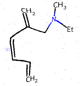 C=C/C=C\C(=C)CN(C)CC